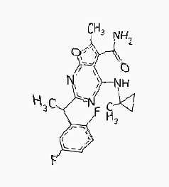 Cc1oc2nc(C(C)c3cc(F)ccc3F)nc(NC3(C)CC3)c2c1C(N)=O